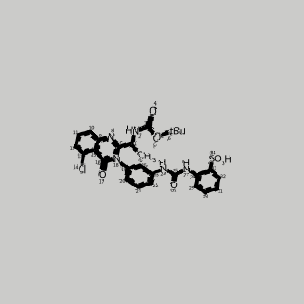 CC(NC(=O)OC(C)(C)C)c1nc2cccc(Cl)c2c(=O)n1-c1cccc(NC(=O)Nc2ccccc2S(=O)(=O)O)c1